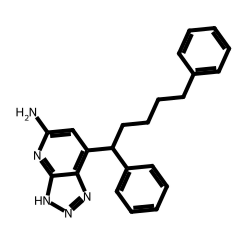 Nc1cc(C(CCCCc2ccccc2)c2ccccc2)c2nn[nH]c2n1